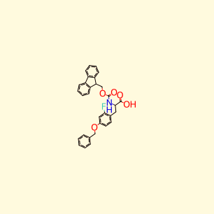 O=C(NC(Cc1ccc(OCc2ccccc2)cc1F)C(=O)O)OCC1c2ccccc2-c2ccccc21